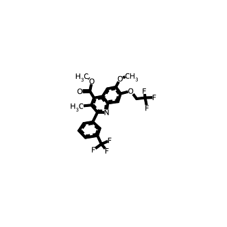 COC(=O)c1c(C)c(-c2cccc(C(F)(F)F)c2)nc2cc(OCC(F)(F)F)c(OC)cc12